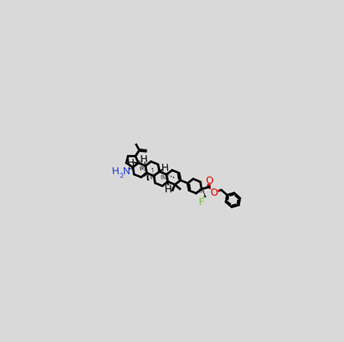 C=C(C)C1CC[C@]2(N)CC[C@]3(C)[C@H](CC[C@@H]4[C@@]5(C)CC=C(C6=CC[C@](CF)(C(=O)OCc7ccccc7)CC6)C(C)(C)[C@@H]5CC[C@]43C)[C@@H]12